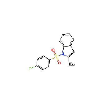 CC(C)(C)c1cc2ccccc2n1S(=O)(=O)c1ccc(F)cc1